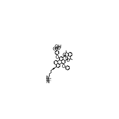 CC(C)c1cccc(C(C)C)c1N1C(=O)c2cc(Oc3ccc(S(=O)(=O)O)cc3)c3c4cccc5c(C#CCCCCN=[N+]=[N-])ccc(c6c(Oc7ccccc7)cc(c2c36)C1=O)c54